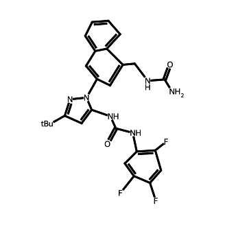 CC(C)(C)c1cc(NC(=O)Nc2cc(F)c(F)cc2F)n(-c2cc(CNC(N)=O)c3ccccc3c2)n1